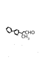 CC(CC=O)c1ccc(-c2ccccc2)cc1